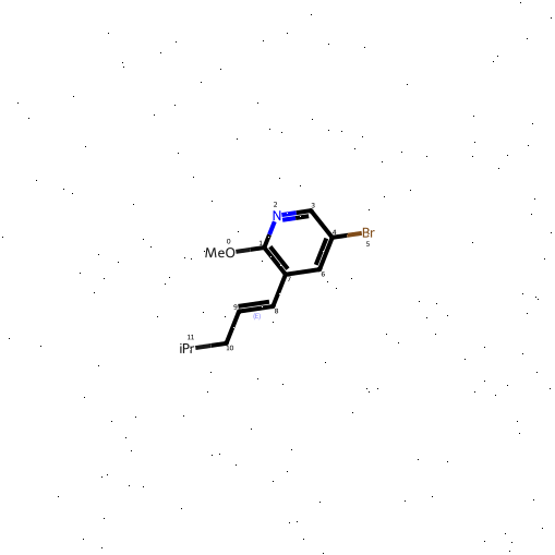 COc1ncc(Br)cc1/C=C/CC(C)C